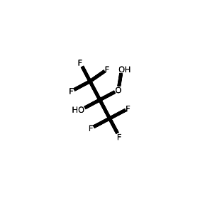 OOC(O)(C(F)(F)F)C(F)(F)F